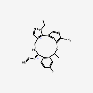 CCN/C1=C(\C=N)CN/C(=N\C=N)c2ccc(F)cc2C(C)Oc2cc1cnc2N